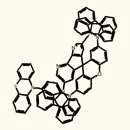 c1ccc2c(c1)Sc1ccccc1N2c1ccc2c(c1)c1ccccc1n2-c1ccc2c(c1)C1(c3cc(-n4c5ccccc5c5ccccc54)ccc3O2)c2cc(-n3c4ccccc4c4ccccc43)cnc2-c2ncc(-n3c4ccccc4c4ccccc43)cc21